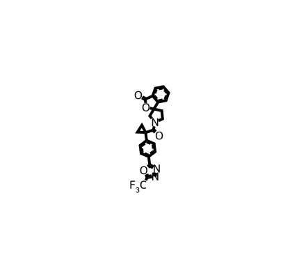 O=C1OC2(CCN(C(=O)C3(c4ccc(-c5nnc(C(F)(F)F)o5)cc4)CC3)C2)c2ccccc21